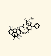 CN1CC[C@]23c4c5ccc(O)c4O[C@H]2C(OC(=O)C[C@H](NC(=O)[C@@H](OC(=O)OC(C)(C)C)c2ccccc2)C(=O)OC(C)(C)C)=CC[C@@]3(O)[C@H]1C5